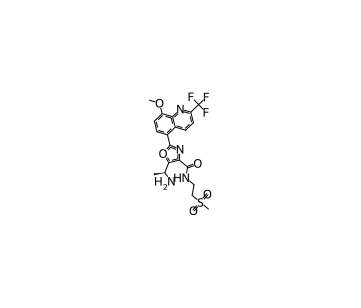 COc1ccc(-c2nc(C(=O)NCCS(C)(=O)=O)c([C@H](C)N)o2)c2ccc(C(F)(F)F)nc12